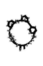 CC1CCCNc2ccc(cn2)-c2ccnc(n2)Nc2cccc(c2)CN2CCC(CC2)CC1=O